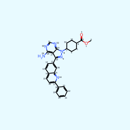 COC(=O)C1CCC(n2nc(-c3ccc4ccc(-c5ccccc5)nc4c3)c3c(N)ncnc32)CC1